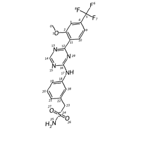 COc1cc(C(F)(F)F)ccc1-c1ncnc(Nc2cccc(CS(N)(=O)=O)c2)n1